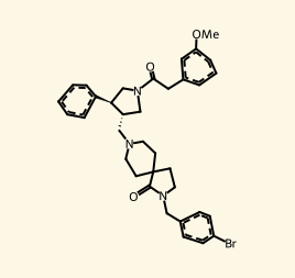 COc1cccc(CC(=O)N2C[C@H](CN3CCC4(CC3)CCN(Cc3ccc(Br)cc3)C4=O)[C@@H](c3ccccc3)C2)c1